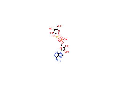 Nc1ncnc2c1ncn2[C@@H]1OC(COP(=O)(O)OP(O)(=S)O[C@@H]2OC(CO)C(O)C(O)C2O)[C@@H](O)[C@H]1O